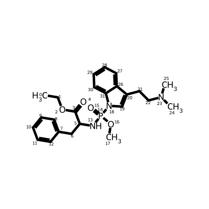 CCOC(=O)C(Cc1ccccc1)NP(=O)(OC)n1cc(CCN(C)C)c2ccccc21